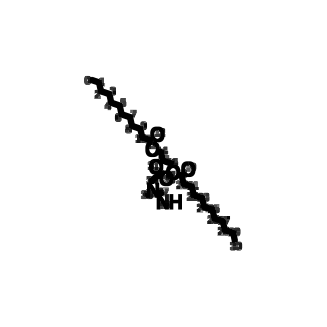 CCCCCCCCCCCC(=O)OCC(COC(=O)CCCCCCCCCCC)OC(=O)CN(C)C=N